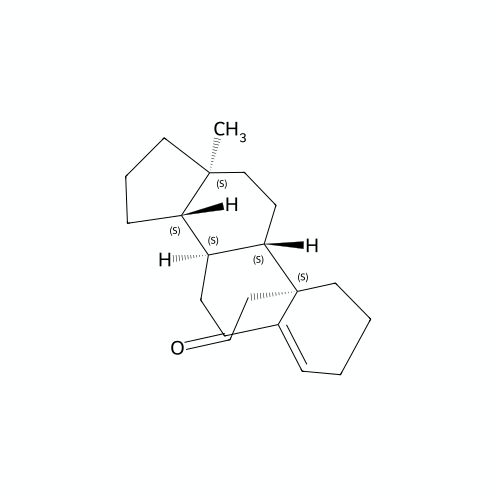 C[C@@]12CCC[C@H]1[C@@H]1CCC3=CCCC[C@]3(CC=O)[C@H]1CC2